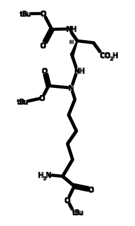 CC(C)(C)OC(=O)N[C@H](CNN(CCCCCC(N)C(=O)OC(C)(C)C)C(=O)OC(C)(C)C)CC(=O)O